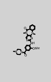 COc1cc(C(=O)N2CCN(C)CC2)ccc1Nc1ncc2c(n1)N(C)c1ccccc1C(=O)N2C